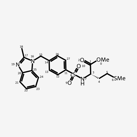 COC(=O)[C@H](CCSC)NS(=O)(=O)c1ccc(Cn2c(C)nc3ccccc32)cc1